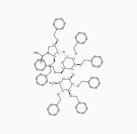 C[C@H]1O[C@@H](O[C@H]2[C@H](OCc3ccccc3)[C@@H](OCc3ccccc3)[C@@H](O[C@@H]3[C@@H](COCc4ccccc4)N(C(=O)O)C[C@H]3OCc3ccccc3)O[C@@H]2COCc2ccccc2)[C@H](OCc2ccccc2)[C@@H](OCc2ccccc2)[C@@H]1OCc1ccccc1